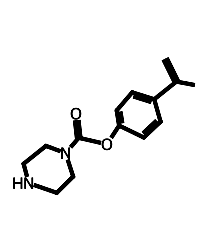 C=C(C)c1ccc(OC(=O)N2CCNCC2)cc1